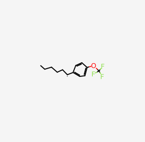 CCCCC[CH]c1ccc(OC(F)(F)F)cc1